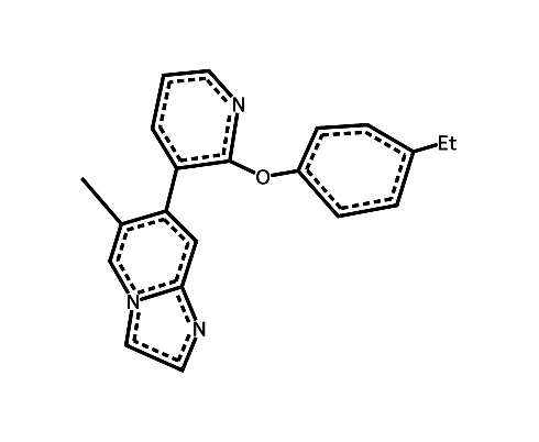 CCc1ccc(Oc2ncccc2-c2cc3nccn3cc2C)cc1